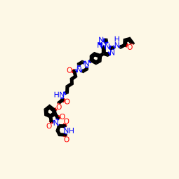 O=C(COc1cccc2c1C(=O)N(C1CCC(=O)NC1=O)C2=O)NCCCCCC(=O)N1CCN(c2ccc(-c3cnc(NCc4ccco4)n4cnnc34)cc2)CC1